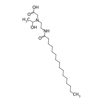 CCCCCCCCCCCCCCCC(=O)NCCN(CC(=O)O)C(C)O